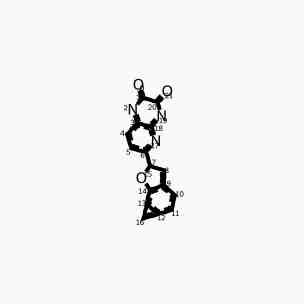 O=C1N=c2ccc(C3C=c4ccc5c(c4O3)C=5)nc2=NC1=O